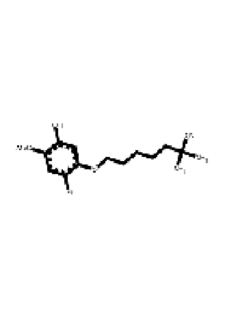 CCc1cc(OC)c(O)cc1OCCCCCC(C)(C)C#N